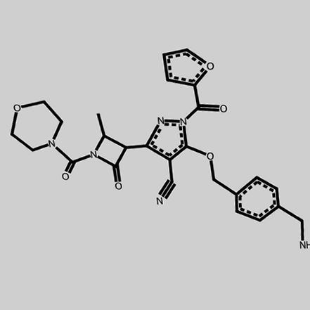 CC1C(c2nn(C(=O)c3ccco3)c(OCc3ccc(CN)cc3)c2C#N)C(=O)N1C(=O)N1CCOCC1